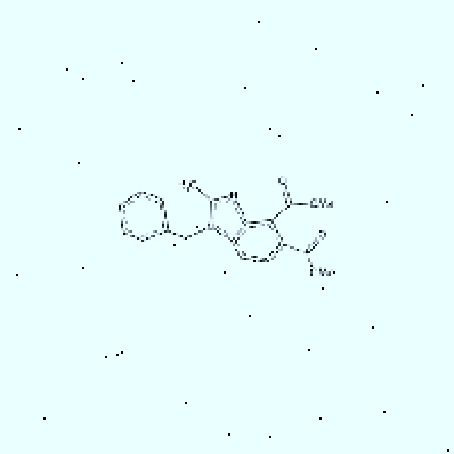 COC(=O)c1ccc2c(nc(C)n2Cc2ccccc2)c1C(=O)OC